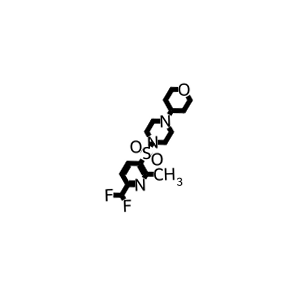 Cc1nc(C(F)F)ccc1S(=O)(=O)N1CCN(C2CCOCC2)CC1